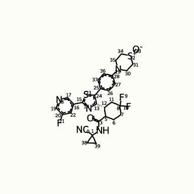 N#CC1(NC(=O)C2CCC(F)(F)C[C@H]2c2nc(-c3cncc(F)c3)sc2-c2ccc(N3CC[S+]([O-])CC3)cc2)CC1